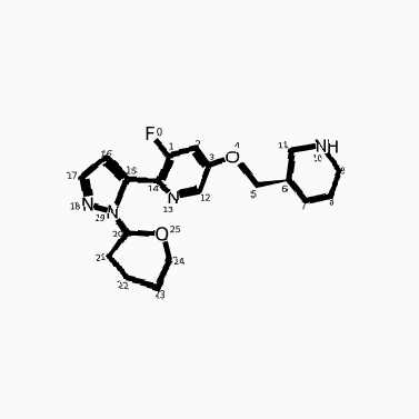 Fc1cc(OC[C@@H]2CCCNC2)cnc1-c1ccnn1C1CCCCO1